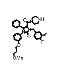 COCCCOc1cccc(-n2c(-c3ccccc3)c(C(=O)N3CCNCC3)n(Cc3ccc(F)c(F)c3)c2=O)c1